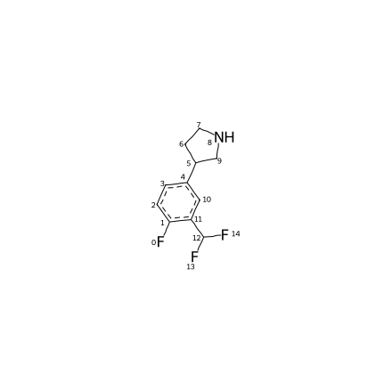 Fc1ccc(C2CCNC2)cc1C(F)F